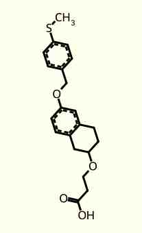 CSc1ccc(COc2ccc3c(c2)CCC(OCCC(=O)O)C3)cc1